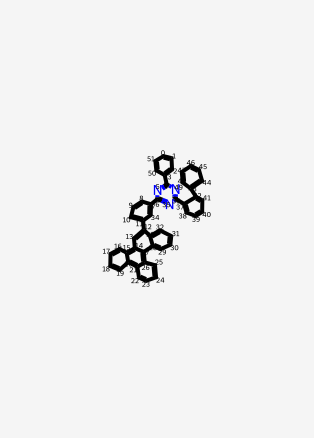 c1ccc(-c2nc(-c3cccc(-c4cc5c6ccccc6c6ccccc6c5c5ccccc45)c3)nc(-c3ccccc3-c3ccccc3)n2)cc1